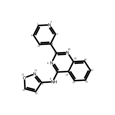 c1cncc(-c2nc(Nc3ccon3)c3ccccc3n2)c1